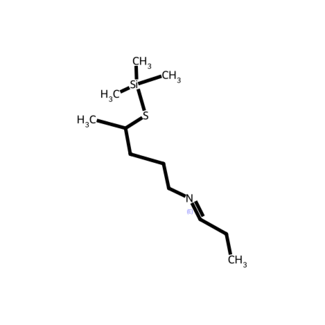 CC/C=N/CCCC(C)S[Si](C)(C)C